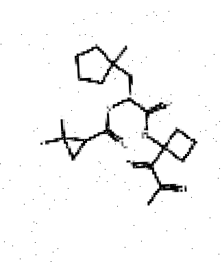 CC(=O)C(=O)C1(NC(=O)[C@H](CC2(C)CCCC2)NC(=O)C2CC2(F)F)CCC1